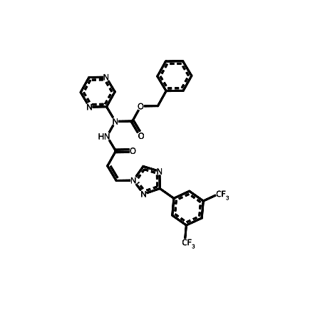 O=C(/C=C\n1cnc(-c2cc(C(F)(F)F)cc(C(F)(F)F)c2)n1)NN(C(=O)OCc1ccccc1)c1cnccn1